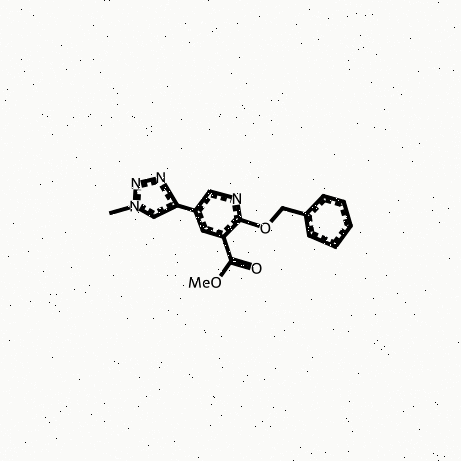 COC(=O)c1cc(-c2cn(C)nn2)cnc1OCc1ccccc1